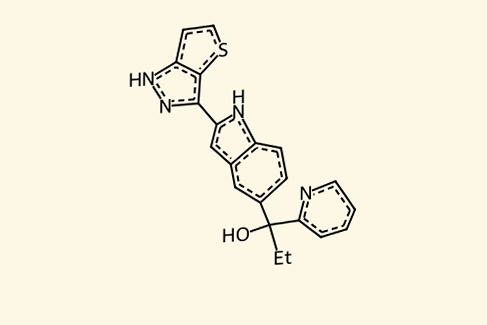 CCC(O)(c1ccc2[nH]c(-c3n[nH]c4ccsc34)cc2c1)c1ccccn1